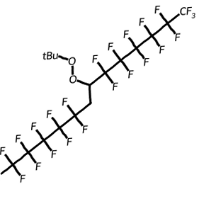 CC(C)(C)OOC(CC(F)(F)C(F)(F)C(F)(F)C(F)(F)C(F)(F)C(F)(F)F)C(F)(F)C(F)(F)C(F)(F)C(F)(F)C(F)(F)C(F)(F)F